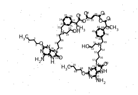 CCCCOc1nc(N)c2[nH]c(=O)n(CCCCN(CCO)Cc3cccc(C(C)C(=O)OC(=O)/C=C/C(=O)OC(=O)C(C)c4cccc(CN(CCO)CCCCn5c(=O)[nH]c6c(N)nc(OCCCC)nc65)c4)c3)c2n1